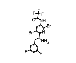 N[C@@H](Cc1cc(F)cc(F)c1)c1nc(Br)c(NC(=O)C(F)(F)F)cc1Br